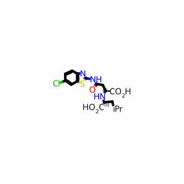 CC(C)C[C@H](N[C@@H](CC(=O)Nc1nc2ccc(Cl)cc2s1)C(=O)O)C(=O)O